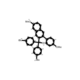 COc1ccc(-c2cc3ccc(OC)cc3cc2C(O)(c2ccc(C(C)(C)C)cc2)c2ccc(C(C)(C)C)cc2)cc1